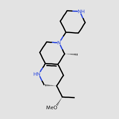 CO[C@@H](C)[C@@H]1CNC2=C(C1)[C@@H](C)N(C1CCNCC1)CC2